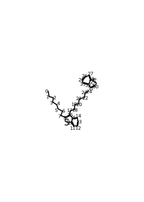 CCCCCCCCc1sc2ccccc2c1CCCCCCCC.c1ccc2sccc2c1